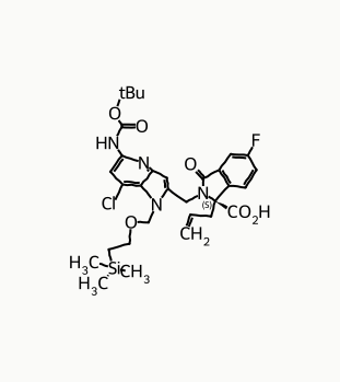 C=CC[C@@]1(C(=O)O)c2ccc(F)cc2C(=O)N1Cc1cc2nc(NC(=O)OC(C)(C)C)cc(Cl)c2n1COCC[Si](C)(C)C